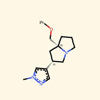 CC(C)OC[C@]12CCCN1C[C@H](c1cnn(C)c1)C2